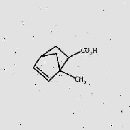 CC12C=CC(CC1C(=O)O)C2